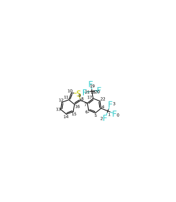 FC(F)(F)c1c[c]c(-c2scc3ccccc23)c(C(F)(F)F)c1